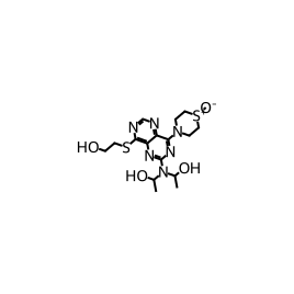 CC(O)N(c1nc(N2CC[S+]([O-])CC2)c2ncnc(SCCO)c2n1)C(C)O